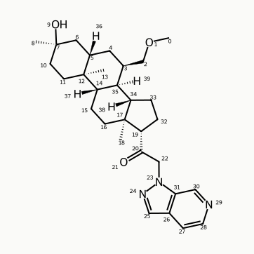 COC[C@@H]1C[C@H]2C[C@](C)(O)CC[C@]2(C)[C@H]2CC[C@]3(C)[C@@H](C(=O)Cn4ncc5ccncc54)CC[C@H]3[C@H]12